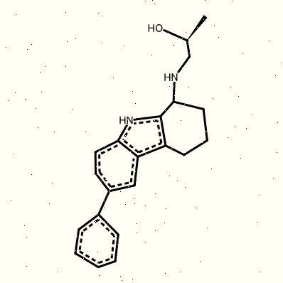 C[C@H](O)CNC1CCCc2c1[nH]c1ccc(-c3ccccc3)cc21